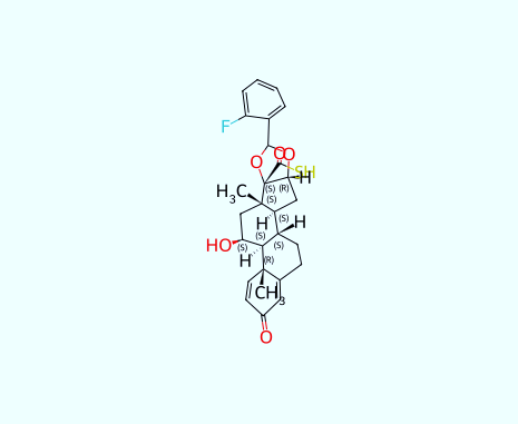 C[C@]12C=CC(=O)C=C1CC[C@@H]1[C@@H]2[C@@H](O)C[C@@]2(C)[C@H]1C[C@H]1OC(c3ccccc3F)O[C@]12C(=O)S